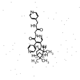 C[C@@H]1[C@H]2C[C@@H](C[C@H]1Nc1cnn(CC(=O)NCc3ccncc3)c(=O)c1-c1ccncc1)C2(C)C